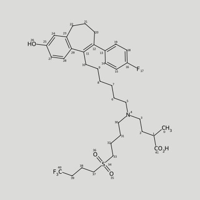 CC(CCN(CCCCCCC1=C(c2ccc(F)cc2)CCCc2cc(O)ccc21)CCCCS(=O)(=O)CCCC(F)(F)F)C(=O)O